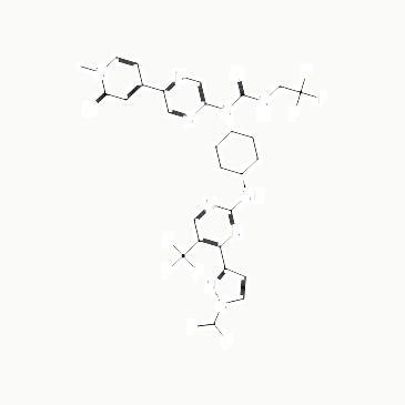 Cn1ccc(-c2cnc(N(C(=O)NCC(F)(F)F)[C@H]3CC[C@H](Nc4ncc(C(F)(F)F)c(-c5ccn(C(F)F)n5)n4)CC3)cn2)cc1=O